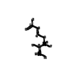 C=C(C)/C=C/CN(C)/C(C)=N\C